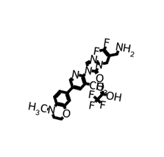 Cc1cc(-c2ccc3c(c2)OCCN3C)cnc1-n1cnn(CC(CN)=C(F)F)c1=O.O=C(O)C(F)(F)F